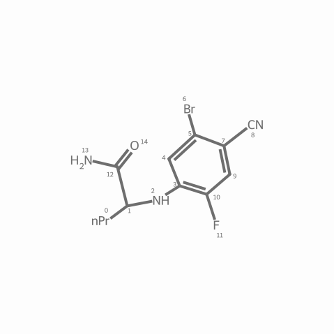 CCCC(Nc1cc(Br)c(C#N)cc1F)C(N)=O